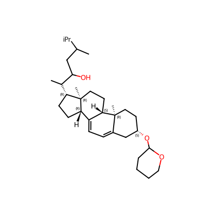 CC(C)C(C)CC(O)C(C)[C@H]1CC[C@H]2C3=CC=C4C[C@@H](OC5CCCCO5)CC[C@]4(C)[C@H]3CC[C@]12C